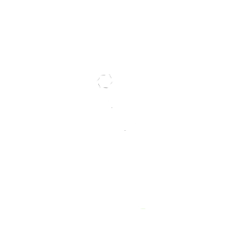 CCCCCCCc1ccc([C@H]2CC[C@H]([C@H]3CC[C@H]([C@H]4CC[C@H](CCCCCCCCF)CC4)CC3)CC2)cc1